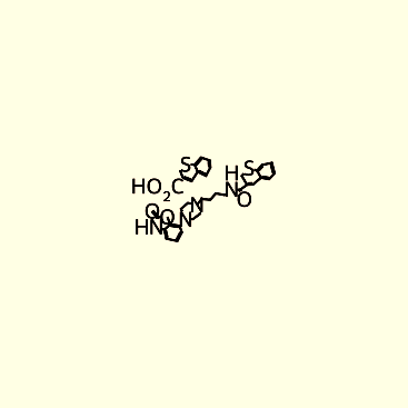 O=C(NCCCCN1CCN(c2cccc3[nH]c(=O)oc23)CC1)C1=Cc2ccccc2SC1.O=C(O)C1=Cc2ccccc2SC1